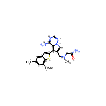 COc1cc(C)cc2cc(-c3c(CN(C)CC(N)=O)cn4ncnc(N)c34)sc12